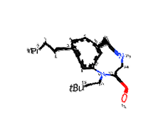 CC(C)CCc1ccc2c(c1)N(CC(C)(C)C)C(=O)CN=C2